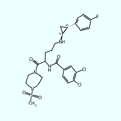 CS(=O)(=O)N1CCN(C(=O)C(CCCN[C@H]2C[C@@H]2c2ccc(F)cc2)NC(=O)c2ccc(Cl)c(Cl)c2)CC1